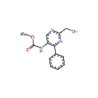 CC(C)(C)OC(=O)Nc1cnc(CO)nc1-c1ccccc1